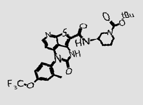 Cc1cc(OC(F)(F)F)ccc1N1C(=O)Nc2c(C(=O)N[C@@H]3CCCN(C(=O)OC(C)(C)C)C3)sc3nccc1c23